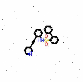 O=S(=O)(Nc1ccccc1C#Cc1cccnc1)c1ccccc1-c1ccccc1